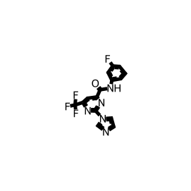 O=C(Nc1cccc(F)c1)c1cc(C(F)(F)F)nc(-n2ccnc2)n1